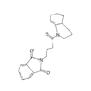 O=C(CCCN1C(=O)c2ccccc2C1=O)N1CCCC2CCCC=C21